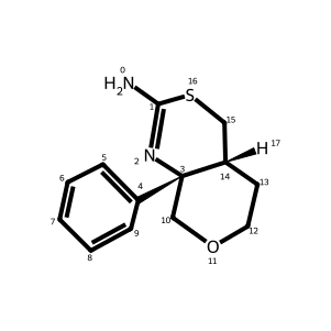 NC1=N[C@@]2(c3ccccc3)COCC[C@H]2CS1